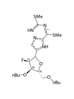 CCCCOC[C@H]1OC(c2cnc(/C(=N\C(=N)SC)SC)[nH]2)[C@H](F)[C@@H]1OCCCC